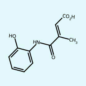 CC(=CC(=O)O)C(=O)Nc1ccccc1O